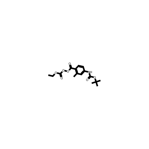 CCOC(=O)OOC(=O)c1ccc(NC(=O)OC(C)(C)C)cc1C